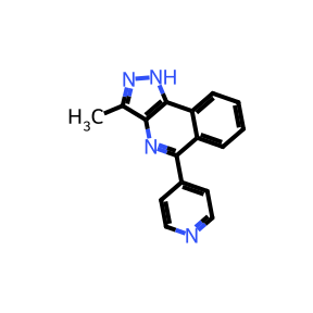 Cc1n[nH]c2c1nc(-c1ccncc1)c1ccccc12